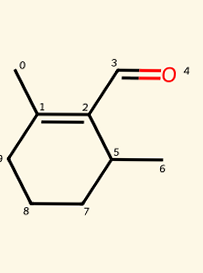 CC1=C(C=O)C(C)CCC1